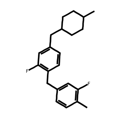 Cc1ccc(Cc2ccc(CC3CCC(C)CC3)cc2F)cc1F